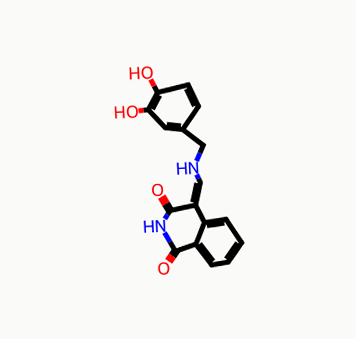 O=C1NC(=O)c2ccccc2C1=CNCc1ccc(O)c(O)c1